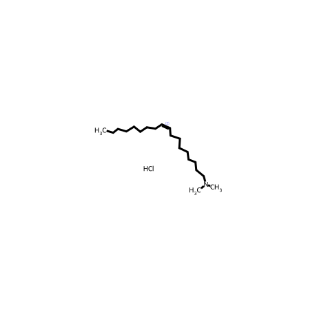 CCCCCCCC/C=C\CCCCCCCCN(C)C.Cl